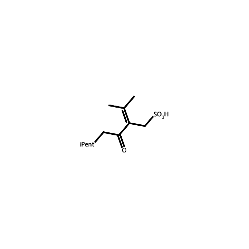 CCCC(C)CC(=O)C(CS(=O)(=O)O)=C(C)C